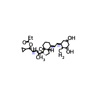 C=C1/C(=C\C=C2/CCC[C@]3(C)[C@@H]([C@H](C)/C=C/[C@H](OC(=O)CC)C4CC4)CC[C@@H]23)C[C@@H](O)C[C@@H]1O